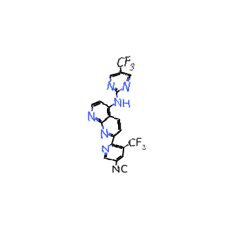 [C-]#[N+]c1cnc(-c2ccc3c(Nc4ncc(C(F)(F)F)cn4)ccnc3n2)c(C(F)(F)F)c1